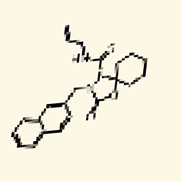 C=CCNC(=S)N1N(Cc2ccc3ccccc3c2)C(=O)OC12CCCCC2